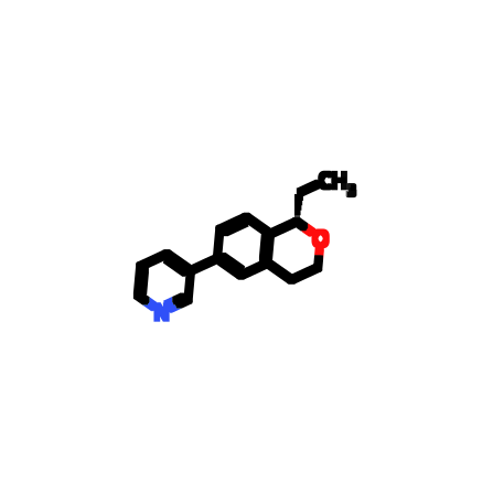 CC[C@@H]1OCCc2cc(-c3cccnc3)ccc21